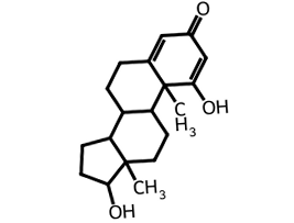 CC12C(O)=CC(=O)C=C1CCC1C2CCC2(C)C(O)CCC12